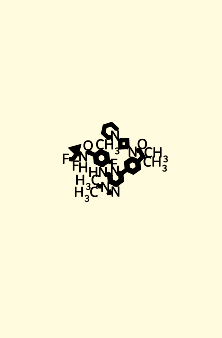 Cc1cc(F)c(Nc2nc(-c3ccc4c(c3)N(C3CC(N5CCCCC5)C3)C(=O)C4(C)C)cc3ncn(C(C)C)c23)cc1C(=O)NC1(C(F)F)CC1